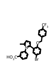 Cc1ccc(-c2cc(Br)ccc2OCc2ccc(C(F)(F)F)cc2)n1-c1cccc(C(=O)O)c1